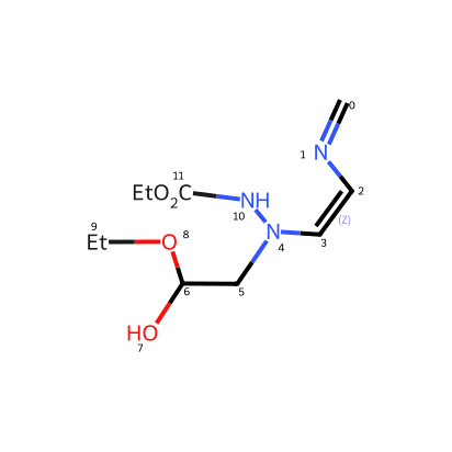 C=N/C=C\N(CC(O)OCC)NC(=O)OCC